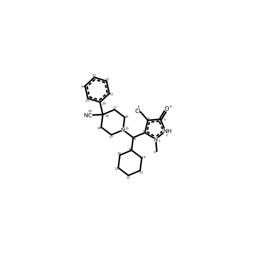 Cn1[nH]c(=O)c(Cl)c1C(C1CCCCC1)N1CCC(C#N)(c2ccccc2)CC1